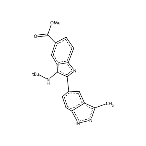 COC(=O)c1ccc2nc(-c3ccc4[nH]nc(C)c4c3)c(NC(C)(C)C)n2c1